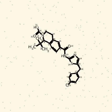 CC(C)(C)C1c2ccc(C(=O)Nc3ncc(Cc4ccc(Cl)cc4)s3)cc2CCN1C(=O)O